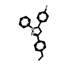 CCc1ccc(C2=NN(c3ccccc3)C(c3ccc(F)cc3)C2)cc1